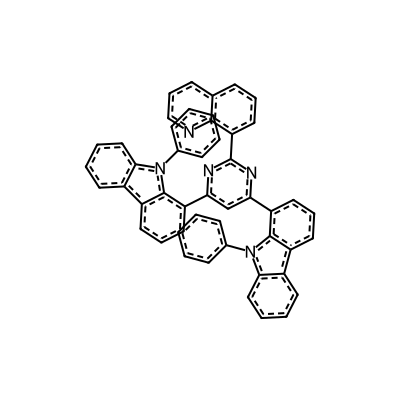 c1ccc(-n2c3ccccc3c3cccc(-c4cc(-c5cccc6c7ccccc7n(-c7ccccc7)c56)nc(-c5cccc6cccnc56)n4)c32)cc1